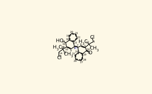 CC(C)(CCl)C1=C/C(=C2/C=C(C(C)(C)CCl)C(O)c3ccccc32)c2ccccc2C1=O